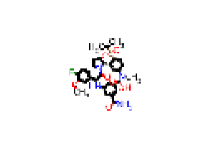 COc1cc([C@@H](Nc2cccc(C(N)=O)c2)C(=O)N2CCC[C@@H]2c2cc(N(C)C(=O)O)ccc2S(=O)(=O)C(C)C)ccc1F